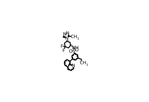 CCc1cc(-c2cccc3cccnc23)cc(S(=O)(=O)N[C@@H]2C[C@H](n3cnnc3C)CC(F)(F)C2)c1